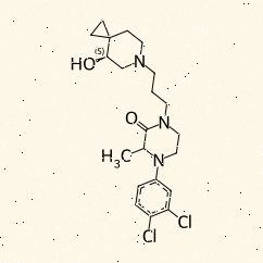 CC1C(=O)N(CCCN2CCC3(CC3)[C@H](O)C2)CCN1c1ccc(Cl)c(Cl)c1